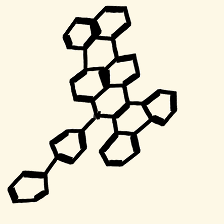 c1ccc(-c2ccc(-c3c(N(c4ccc(-c5ccccc5)cc4)c4ccc(-c5ccccc5)cc4)c4ccccc4c4ccccc34)cc2)cc1